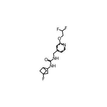 O=C(NCc1ccnc(OCC(F)F)c1)NC1CC2(F)CC1C2